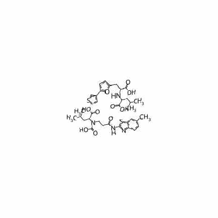 CC(C)CC(NC(Cc1ccc(-c2ccsc2)o1)C(=O)O)C(=O)O.Cc1ccc2nc(NC(=O)CCN(C(=O)O)C(CC(C)C)C(=O)O)sc2c1